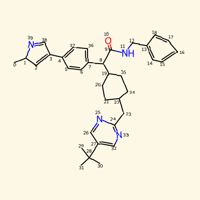 CC1C=C(c2ccc(C(C(=O)NCc3ccccc3)C3CCC(Cc4ncc(C(C)(C)C)cn4)CC3)cc2)C=N1